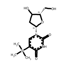 C[Si](C)(C)c1cn([C@@H]2CC(O)[C@H](CO)O2)c(=O)[nH]c1=O